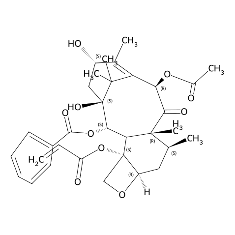 C=CC(=O)O[C@@]12CO[C@@H]1C[C@H](C)[C@@]1(C)C(=O)[C@H](OC(C)=O)C3=C(C)[C@@H](O)C[C@@](O)([C@@H](OC(=O)c4ccccc4)C12)C3(C)C